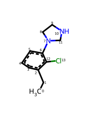 CCc1cccc(N2CCNC2)c1Cl